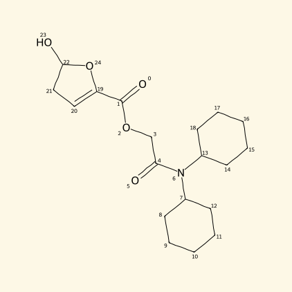 O=C(OCC(=O)N(C1CCCCC1)C1CCCCC1)C1=CCC(O)O1